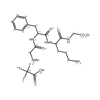 CCOC(=O)CNC(=O)C(CCCN)NC(=O)C(Cc1ccccc1)NC(=O)CNC.O=C(O)C(F)(F)F